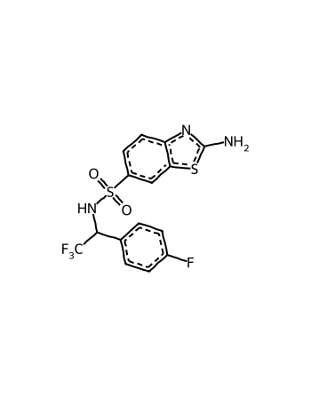 Nc1nc2ccc(S(=O)(=O)NC(c3ccc(F)cc3)C(F)(F)F)cc2s1